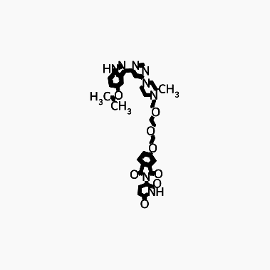 CC(C)Oc1ccc2[nH]nc(-c3cc(N4CCN(CCOCCOCCOc5ccc6c(c5)C(=O)N(C5CCC(=O)NC5=O)C6=O)[C@@H](C)C4)ncn3)c2c1